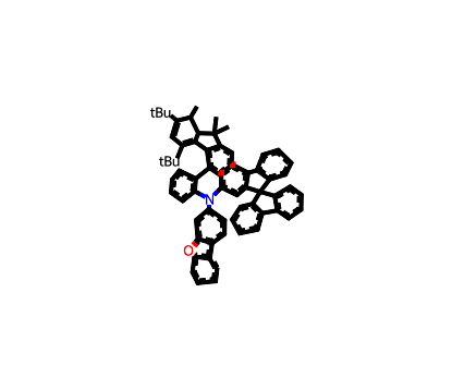 CC1C(C(C)(C)C)=CC(C(C)(C)C)=C2c3c(-c4ccccc4N(c4ccc5c(c4)C4(c6ccccc6-c6ccccc64)c4ccccc4-5)c4ccc5c(c4)oc4ccccc45)cccc3C(C)(C)C21